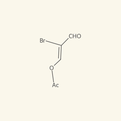 CC(=O)OC=C(Br)C=O